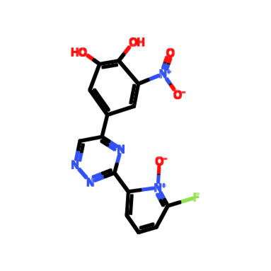 O=[N+]([O-])c1cc(-c2cnnc(-c3cccc(F)[n+]3[O-])n2)cc(O)c1O